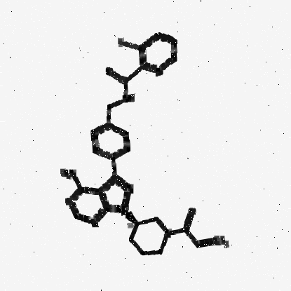 C=CC(=O)N1CCC[C@@H](n2nc(-c3ccc(CNC(=O)c4ncccc4F)cc3)c3c(N)ncnc32)C1